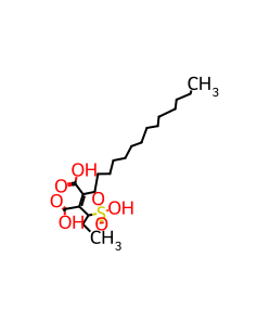 CCCCCCCCCCCCCC/C(C(=O)O)=C(/C(=O)O)C(CC)S(=O)(=O)O